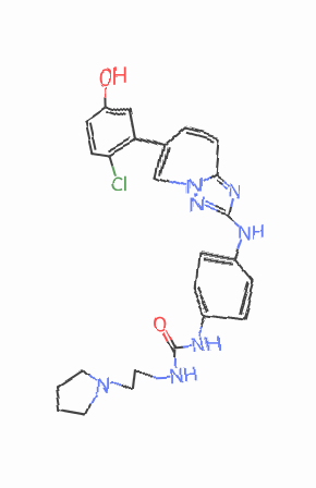 O=C(NCCN1CCCC1)Nc1ccc(Nc2nc3ccc(-c4cc(O)ccc4Cl)cn3n2)cc1